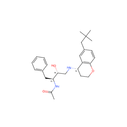 CC(=O)N[C@@H](Cc1ccccc1)[C@H](O)CN[C@H]1CCOc2ccc(CC(C)(C)C)cc21